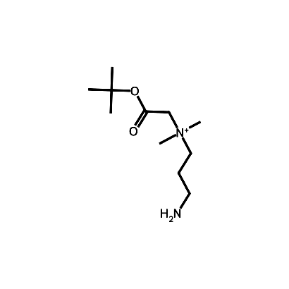 CC(C)(C)OC(=O)C[N+](C)(C)CCCN